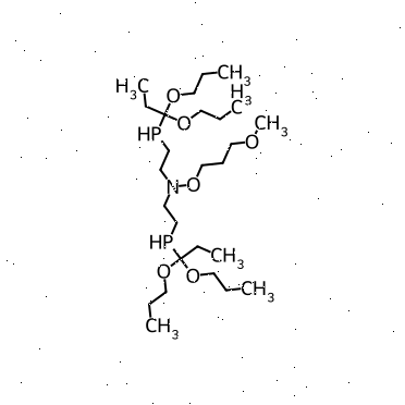 CCCOC(CC)(OCCC)PCCN(CCPC(CC)(OCCC)OCCC)OCCCOC